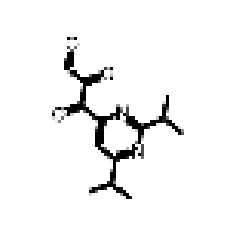 CC(C)c1cc(C(=O)C(=O)C=O)nc(C(C)C)n1